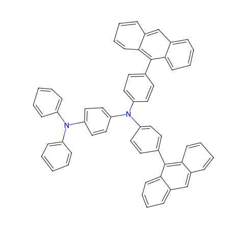 c1ccc(N(c2ccccc2)c2ccc(N(c3ccc(-c4c5ccccc5cc5ccccc45)cc3)c3ccc(-c4c5ccccc5cc5ccccc45)cc3)cc2)cc1